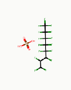 FC(F)C(F)C(F)C(F)(F)C(F)(F)C(F)(F)C(F)(F)C(F)(F)F.O=S(=O)(O)O